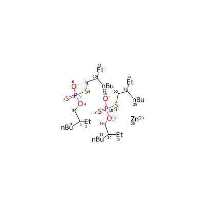 CCCCC(CC)COP([O-])(=S)SCC(CC)CCCC.CCCCC(CC)COP([O-])(=S)SCC(CC)CCCC.[Zn+2]